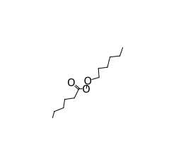 CCCCCCOOC(=O)CCCCC